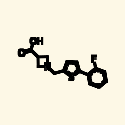 O=C(O)C1CN(Cc2ccc(-c3ccccc3F)s2)C1